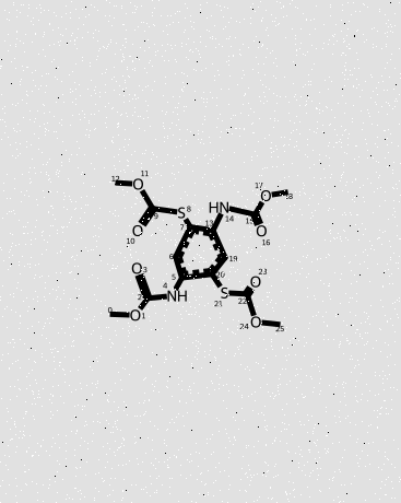 COC(=O)Nc1cc(SC(=O)OC)c(NC(=O)OC)cc1SC(=O)OC